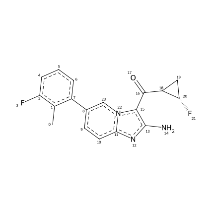 Cc1c(F)cccc1-c1ccc2nc(N)c(C(=O)C3C[C@@H]3F)n2c1